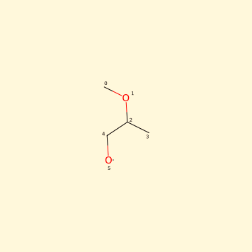 COC(C)C[O]